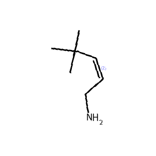 CC(C)(C)/C=C\CN